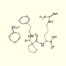 N=C(N)NCCCC(NC(=O)C1(C(=O)NCCc2ccccc2)CCCC1)B(O)O.O=S(=O)(O)c1ccccc1